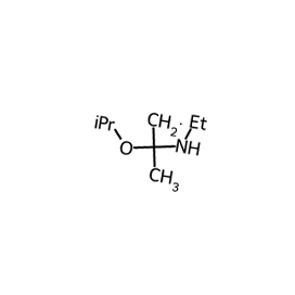 [CH2]C(C)(NCC)OC(C)C